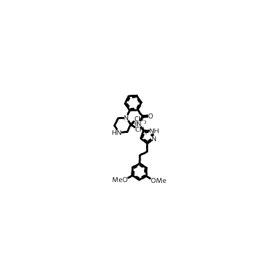 COc1cc(CCc2cc(NC(=O)c3ccccc3N3CCNCC3(C)C)[nH]n2)cc(OC)c1